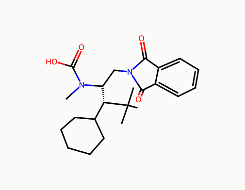 CN(C(=O)O)C(CN1C(=O)c2ccccc2C1=O)[C@@H](C1CCCCC1)C(C)(C)C